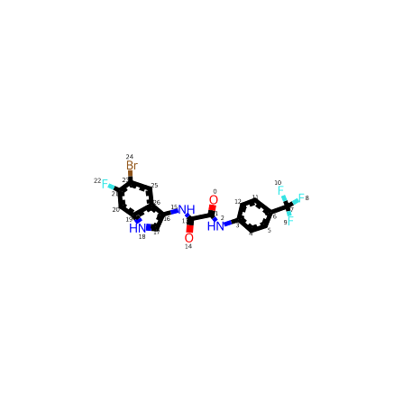 O=C(Nc1ccc(C(F)(F)F)cc1)C(=O)Nc1c[nH]c2cc(F)c(Br)cc12